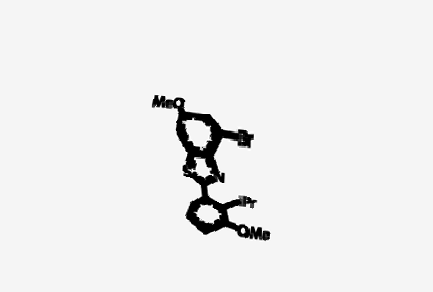 COc1cc(Br)c2nc(-c3cccc(OC)c3C(C)C)sc2c1